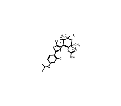 Cc1sc(-c2ccc(OC(F)F)cc2Cl)nc1C1=C(OC(=O)C(C)(C)C)C(C)(C)OC(C)(C)C1=O